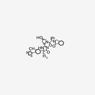 Cc1ncsc1-c1ccc(C2(C)NC([C@H]3C[C@@H](O)CN3C(=O)C(C(C)C)N3Cc4ccccc4C3=O)=NC2=O)cc1